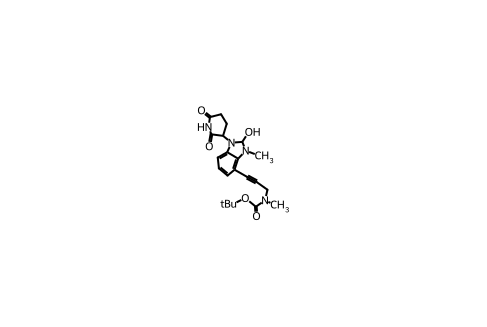 CN(CC#Cc1cccc2c1N(C)C(O)N2C1CCC(=O)NC1=O)C(=O)OC(C)(C)C